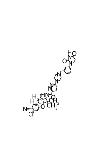 CC1(C)C(NC(=O)c2ccc(N3CCN(Cc4cccc(N5CCC(=O)NC5=O)c4)CC3)nn2)C(C)(C)C1Oc1ccc(C#N)c(Cl)c1